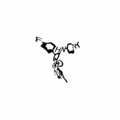 CC(C)N1CCC(N[C@@H]2CN(S(=O)(=O)c3cn(C)cn3)C[C@H]2c2ccc(F)cc2)CC1